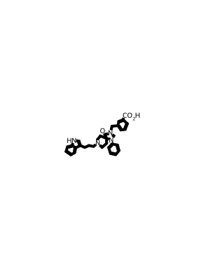 O=C(O)c1cccc(CN2CN(c3ccccc3)C3(CCN(CCCc4c[nH]c5ccccc45)CC3)C2=O)c1